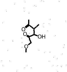 COCC(=O)C(O)C(C)C(C)=O